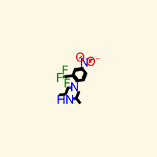 CC1CN(c2ccc([N+](=O)[O-])cc2C(F)(F)F)CC(C)N1